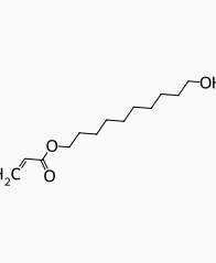 C=CC(=O)OCCCCCCCCCCO